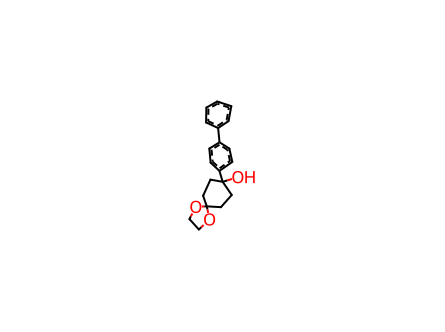 OC1(c2ccc(-c3ccccc3)cc2)CCC2(CC1)OCCO2